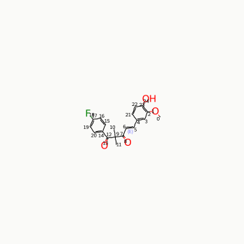 COc1cc(/C=C/C(=O)C(C)(C)C(=O)c2ccc(F)cc2)ccc1O